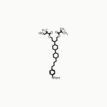 C=C(C)C(=O)OCCC(CCOC(=O)C(=C)CO)C1CCC(C2CCC(CCCCc3ccc(CCCCC)cc3)CC2)CC1